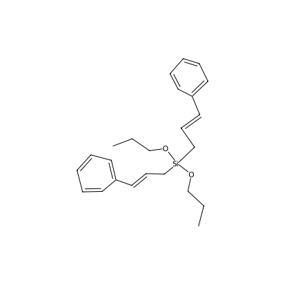 CCCO[Si](CC=Cc1ccccc1)(CC=Cc1ccccc1)OCCC